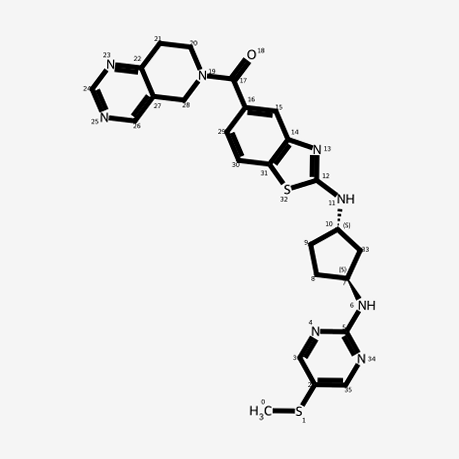 CSc1cnc(N[C@H]2CC[C@H](Nc3nc4cc(C(=O)N5CCc6ncncc6C5)ccc4s3)C2)nc1